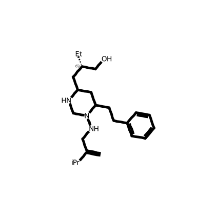 C=C(CNN1CNC(C[C@H](CC)CO)CC1CCc1ccccc1)C(C)C